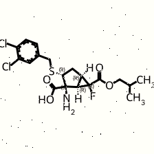 CC(C)COC(=O)[C@@]1(F)[C@@H]2C[C@@H](SCc3ccc(Cl)c(Cl)c3)[C@@](N)(C(=O)O)[C@@H]21